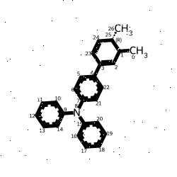 CC1C=C(c2ccc(N(c3ccccc3)c3ccccc3)cc2)C=C[C@@H]1C